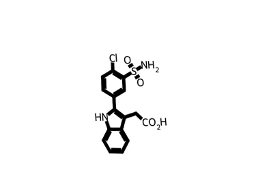 NS(=O)(=O)c1cc(-c2[nH]c3ccccc3c2CC(=O)O)ccc1Cl